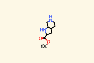 CC(C)(C)OC(=O)C1CC2CCNCC2N1